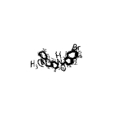 CN(Cc1ccc(NC(=O)c2ccc3ccc(Br)cc3c2)cc1)C1CCCCC1